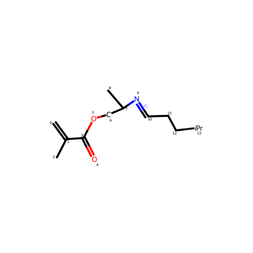 C=C(C)C(=O)OCC(C)/N=C/CCC(C)C